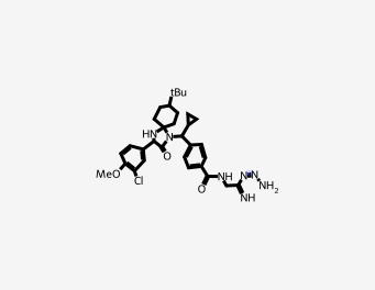 COc1ccc(C2NC3(CCC(C(C)(C)C)CC3)N(C(c3ccc(C(=O)NCC(=N)/N=N\N)cc3)C3CC3)C2=O)cc1Cl